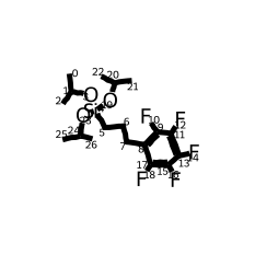 CC(C)O[Si](CCCc1c(F)c(F)c(F)c(F)c1F)(OC(C)C)OC(C)C